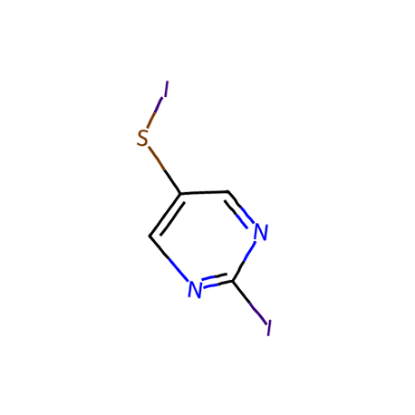 ISc1cnc(I)nc1